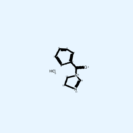 Cl.O=C(c1ccccc1)N1C=NCC1